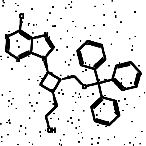 OCC[C@H]1C[C@@H](n2cnc3c(Cl)ncnc32)[C@@H]1COC(c1ccccc1)(c1ccccc1)c1ccccc1